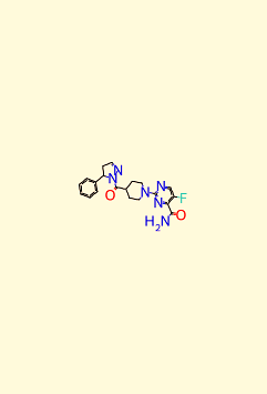 NC(=O)c1nc(N2CCC(C(=O)N3N=CCC3c3ccccc3)CC2)ncc1F